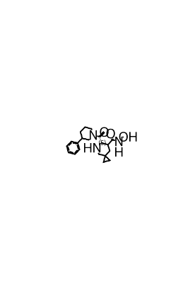 O=C(NO)C1CC2(CC2)CN[C@@H]1C(=O)N1CCCC(c2ccccc2)C1